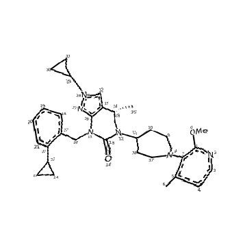 COc1nccc(C)c1N1CCC(N2C(=O)N(Cc3ccccc3C3CC3)c3nn(C4CC4)cc3[C@@H]2C)CC1